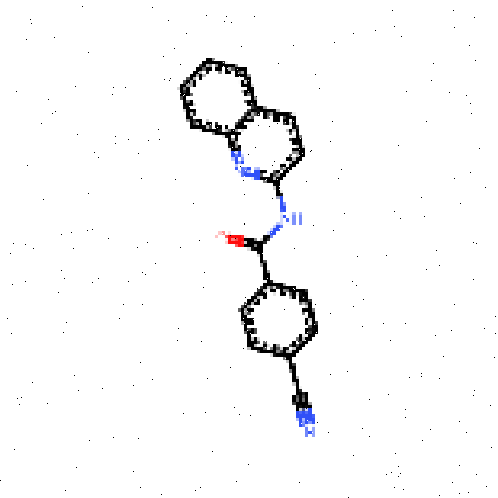 N#Cc1ccc(C(=O)Nc2ccc3ccccc3n2)cc1